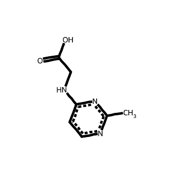 Cc1nccc(NCC(=O)O)n1